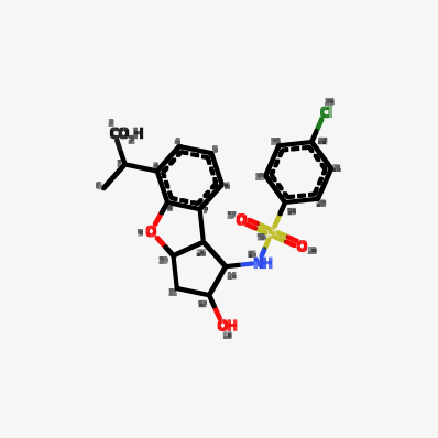 CC(C(=O)O)c1cccc2c1OC1CC(O)C(NS(=O)(=O)c3ccc(Cl)cc3)C21